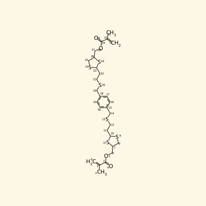 C=C(C)C(=O)OCC1CSC(CCSCc2ccc(CSCCC3SCC(COC(=O)C(=C)C)S3)cc2)S1